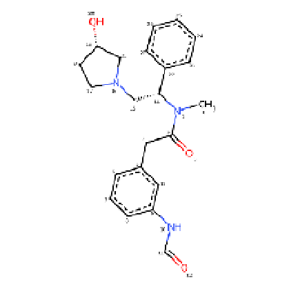 CN(C(=O)Cc1cccc(NC=O)c1)[C@H](CN1CC[C@H](O)C1)c1ccccc1